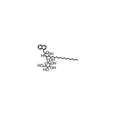 CCCCCCCCCCCCCCC(O)C(O)C(COC1OC(CO)C(O)C(O)C1O)NC(=O)Cc1cccc2ccccc12